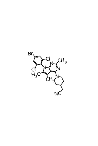 Cc1nc(N2CCC(CC#N)CC2)c2c(C)c(C)n(-c3c(Cl)cc(Br)cc3Cl)c2n1